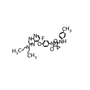 CCCN(CCC)c1cnc2nccc(Oc3ccc(NC(=O)C4(C(=O)Nc5ccc(C)cc5)CC4)cc3F)c2n1